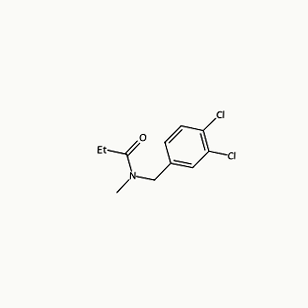 CCC(=O)N(C)Cc1ccc(Cl)c(Cl)c1